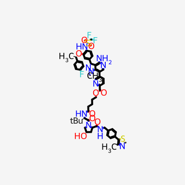 Cc1ncsc1-c1ccc(CNC(=O)C2C[C@@H](O)CN2C(=O)[C@@H](NC(=O)CCCCOC(=O)c2ccc(-c3cnc(N)c4c(-c5ccc(NS(=O)(=O)C(F)F)c(O[C@@H](C)c6ccc(F)cc6)c5)nn(C)c34)cn2)C(C)(C)C)cc1